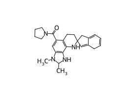 CC1Nc2c(cc(C(=O)N3CCCC3)c3c2NC2(C=C4CC=CC=C4C2)CC3)N1C